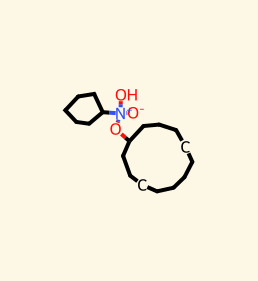 [O-][N+](O)(OC1CCCCCCCCCCC1)C1CCCCC1